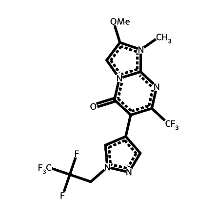 COc1cn2c(=O)c(-c3cnn(CC(F)(F)C(F)(F)F)c3)c(C(F)(F)F)nc2n1C